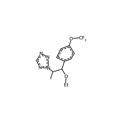 CCOC(c1ccc(OC(F)(F)F)cc1)C(C)n1ncnn1